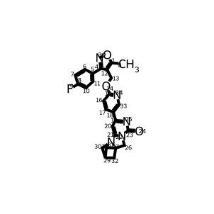 Cc1onc(-c2ccc(F)cc2)c1COc1ccc(-c2cc3n(c(=O)n2)CC24CC(CN32)C4)cn1